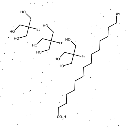 CC(C)CCCCCCCCCCCCCCC(=O)O.CCC(CO)(CO)CO.CCC(CO)(CO)CO.CCC(CO)(CO)CO